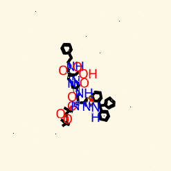 CC(C)(C)OC(=O)C(C)(C)O/N=C(\C(=O)N[C@H]1CN2CC(C(=O)NCCc3ccccc3)=C(C(=O)O)N2C1=O)c1csc(NC(c2ccccc2)(c2ccccc2)c2ccccc2)n1